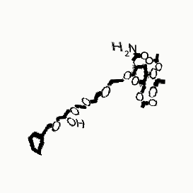 CC(=O)OC[C@H]1O[C@@H](OCCOCCOCCOCC(O)COCc2ccccc2)[C@H](CC(N)=O)[C@@H](OC(C)=O)[C@H]1OC(C)=O